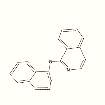 c1ccc2c([N]c3nccc4ccccc34)nccc2c1